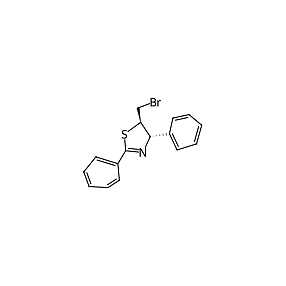 BrC[C@@H]1SC(c2ccccc2)=N[C@H]1c1ccccc1